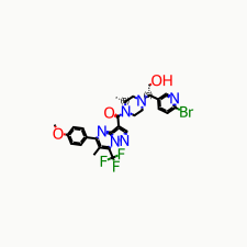 COc1ccc(-c2nc3c(C(=O)N4CCN([C@H](CO)c5ccc(Br)nc5)C[C@H]4C)cnn3c(C(F)(F)F)c2C)cc1